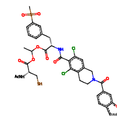 CC(=O)N[C@@H](CS)C(=O)OC(C)OC(=O)[C@H](Cc1cccc(S(C)(=O)=O)c1)NC(=O)c1c(Cl)cc2c(c1Cl)CCN(C(=O)c1ccc3ccoc3c1)C2